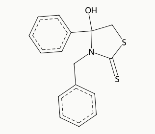 OC1(c2ccccc2)CSC(=S)N1Cc1ccccc1